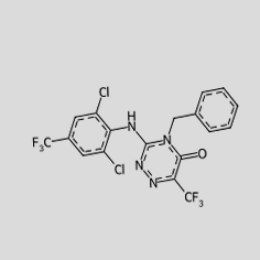 O=c1c(C(F)(F)F)nnc(Nc2c(Cl)cc(C(F)(F)F)cc2Cl)n1Cc1ccccc1